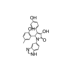 Cc1ccc(O)c(C2C(c3ccc(O)cc3)=C(O)C(=O)N2c2ccc3[nH]cnc3c2)c1